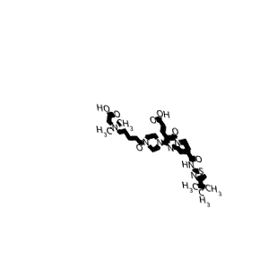 CC(C)(C)c1csc(NC(=O)c2ccn3c(=O)c(C=CC(=O)O)c(N4CCN(C(=O)CCCC[N+](C)(C)CC(=O)O)CC4)nc3c2)n1